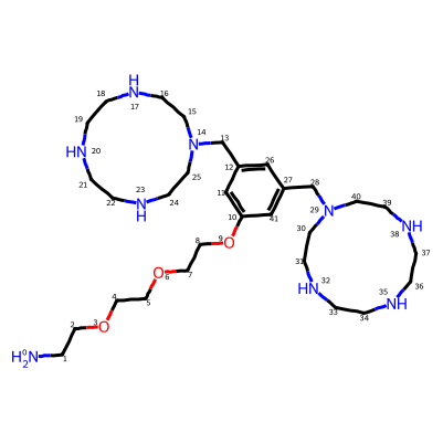 NCCOCCOCCOc1cc(CN2CCNCCNCCNCC2)cc(CN2CCNCCNCCNCC2)c1